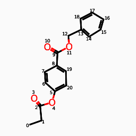 CCC(=O)Oc1ccc(C(=O)OCc2ccccc2)cc1